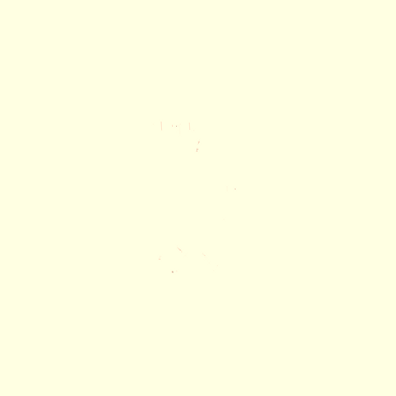 CCCCCCCC=CCCC1OCCC(CCC(=O)c2ccccc2)O1